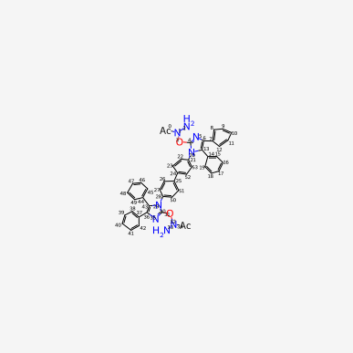 CC(=O)N(N)Oc1nc(-c2ccccc2)c(-c2ccccc2)n1-c1ccc(-c2ccc(-n3c(ON(N)C(C)=O)nc(-c4ccccc4)c3-c3ccccc3)cc2)cc1